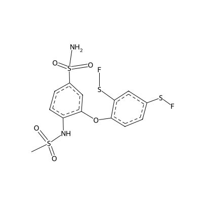 CS(=O)(=O)Nc1ccc(S(N)(=O)=O)cc1Oc1ccc(SF)cc1SF